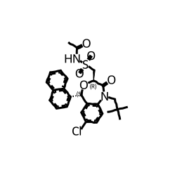 CC(=O)NS(=O)(=O)C[C@@H]1O[C@@H](c2cccc3ccccc23)c2cc(Cl)ccc2N(CC(C)(C)C)C1=O